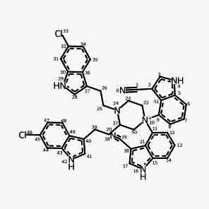 N#Cc1c[nH]c2cccc([N+]3(c4cccc5[nH]cc(C#N)c45)CCN(CCc4c[nH]c5cc(Cl)ccc45)C(CCc4c[nH]c5cc(Cl)ccc45)C3)c12